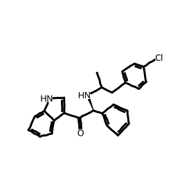 CC(Cc1ccc(Cl)cc1)N[C@H](C(=O)c1c[nH]c2ccccc12)c1ccccc1